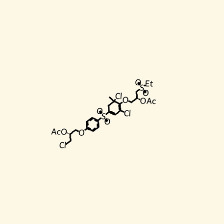 CCS(=O)(=O)C[C@H](COC1=C(Cl)C=C(S(=O)(=O)c2ccc(OC[C@H](CCl)OC(C)=O)cc2)CC1(C)Cl)OC(C)=O